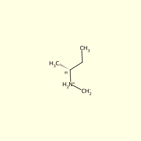 [CH2-][NH2+][C@H](C)CC